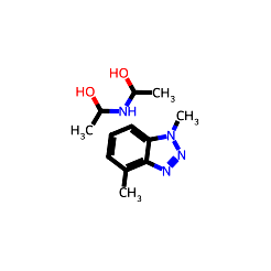 CC(O)NC(C)O.Cc1cccc2c1nnn2C